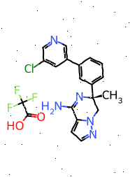 C[C@@]1(c2cccc(-c3cncc(Cl)c3)c2)Cn2nccc2C(N)=N1.O=C(O)C(F)(F)F